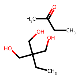 CCC(C)=O.CCC(CO)(CO)CO